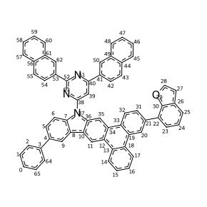 c1ccc(-c2ccc3c(c2)c2cc4c5ccccc5c5cc(-c6cccc7ccoc67)ccc5c4cc2n3-c2cc(-c3ccc4ccccc4c3)nc(-c3ccc4ccccc4c3)n2)cc1